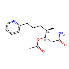 CC(=O)O[C@@H](CC(N)=O)[C@H](C)CCCc1ccccn1